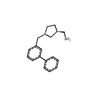 NC[C@@H]1CCN(Cc2cccc(-c3ccccc3)c2)C1